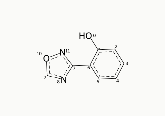 Oc1ccccc1-c1ncon1